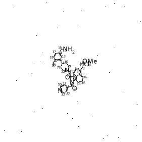 COCCn1cc(C(=O)N2CCC(c3cc(CN)ccc3F)CC2)c2c(NC(=O)c3ccncc3)cccc21.Cl